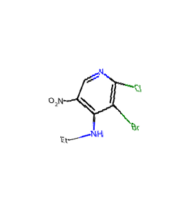 CCNc1c([N+](=O)[O-])cnc(Cl)c1Br